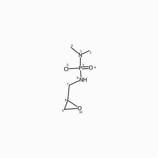 CN(C)P(=O)(Cl)NCC1CO1